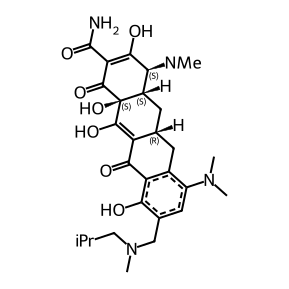 CN[C@@H]1C(O)=C(C(N)=O)C(=O)[C@@]2(O)C(O)=C3C(=O)c4c(O)c(CN(C)CC(C)C)cc(N(C)C)c4C[C@H]3C[C@@H]12